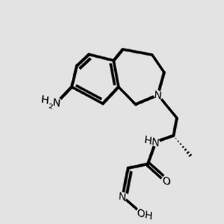 C[C@@H](CN1CCCc2ccc(N)cc2C1)NC(=O)/C=N\O